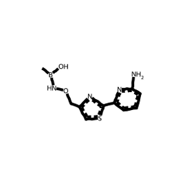 CB(O)NOCc1csc(-c2cccc(N)n2)n1